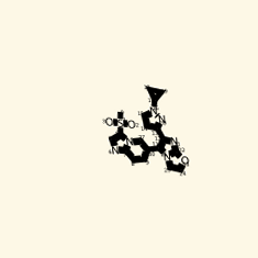 CS(=O)(=O)c1cnc2ccc(-c3c(-c4ccn(C5CC5)n4)nc4occn34)cn12